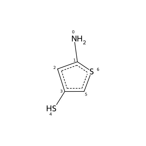 Nc1cc(S)cs1